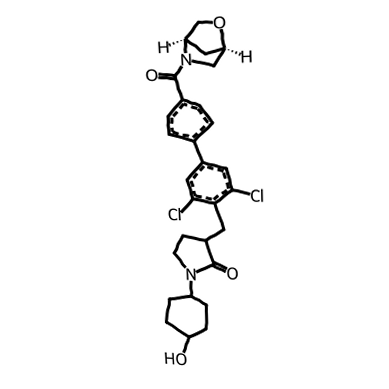 O=C1C(Cc2c(Cl)cc(-c3ccc(C(=O)N4C[C@H]5C[C@@H]4CO5)cc3)cc2Cl)CCN1C1CCC(O)CC1